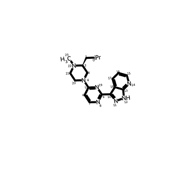 CC(C)C[C@H]1CN(c2ccnc(-c3n[nH]c4ncccc34)n2)CCN1C